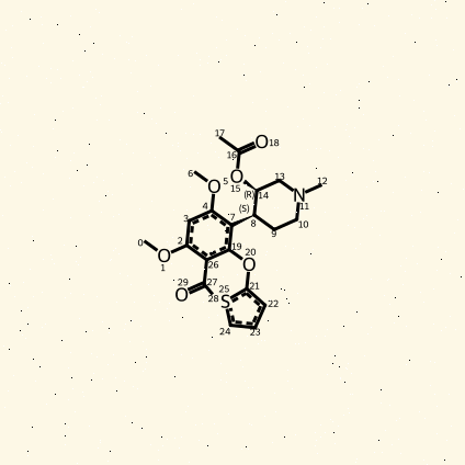 COc1cc(OC)c([C@@H]2CCN(C)C[C@@H]2OC(C)=O)c(Oc2cccs2)c1C(C)=O